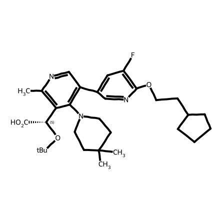 Cc1ncc(-c2cnc(OCCC3CCCC3)c(F)c2)c(N2CCC(C)(C)CC2)c1[C@H](OC(C)(C)C)C(=O)O